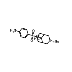 CCCCN1CC2CN(S(=O)(=O)c3ccc(N)cc3)CC(C1)C2(C)C